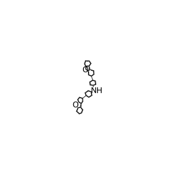 c1ccc2c(c1)oc1cc(-c3ccc(Nc4ccc(-c5ccc6oc7ccccc7c6c5)cc4)cc3)ccc12